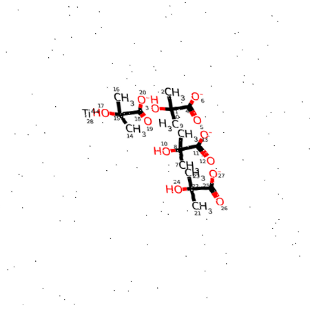 CC(C)(O)C(=O)[O-].CC(C)(O)C(=O)[O-].CC(C)(O)C(=O)[O-].CC(C)(O)C(=O)[O-].[Ti+4]